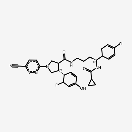 N#Cc1ccc(N2CC(C(=O)NCCC[C@H](NC(=O)C3CC3)C3C=CC(Cl)=CC3)[C@H](C3C=CC(O)=CC3F)C2)nn1